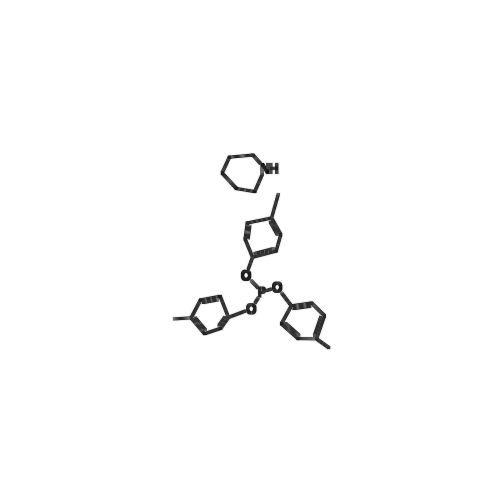 C1CCNCC1.Cc1ccc(OP(Oc2ccc(C)cc2)Oc2ccc(C)cc2)cc1